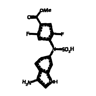 COC(=O)c1cc(F)c(N(c2ccc3c(N)c[nH]c3c2)S(=O)(=O)O)cc1F